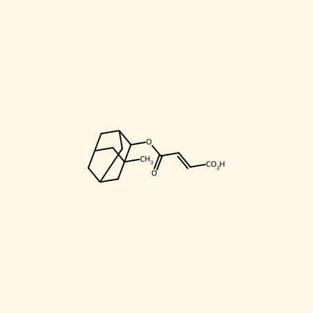 CC12CC3CC(CC(C3)C1OC(=O)C=CC(=O)O)C2